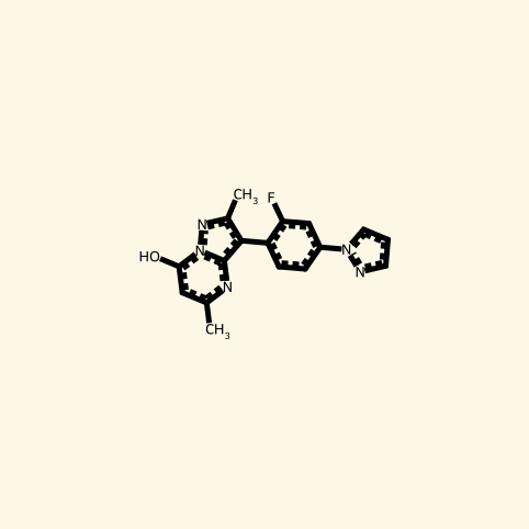 Cc1cc(O)n2nc(C)c(-c3ccc(-n4cccn4)cc3F)c2n1